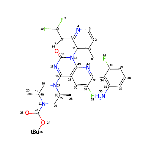 Cc1ccnc(C(C)C(F)F)c1-n1c(=O)nc(N2C[C@@H](C)N(C(=O)OC(C)(C)C)C[C@@H]2C)c2cc(F)c(-c3c(N)cccc3F)nc21